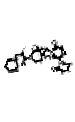 C[C@H](CC1CCCCC1)C(=O)N1CCC(O)(Cn2cc(N3CCCC3=O)ncc2=O)C(C)(C)C1